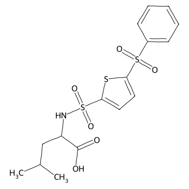 CC(C)CC(NS(=O)(=O)c1ccc(S(=O)(=O)c2ccccc2)s1)C(=O)O